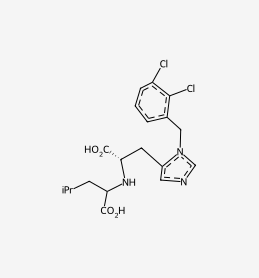 CC(C)CC(N[C@@H](Cc1cncn1Cc1cccc(Cl)c1Cl)C(=O)O)C(=O)O